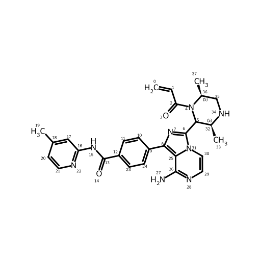 C=CC(=O)N1C(c2nc(-c3ccc(C(=O)Nc4cc(C)ccn4)cc3)c3c(N)nccn23)[C@H](C)NC[C@@H]1C